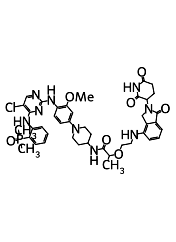 COc1cc(N2CCC(NC(=O)C(C)OCCNc3cccc4c3CN(C3CCC(=O)NC3=O)C4=O)CC2)ccc1Nc1ncc(Cl)c(Nc2ccccc2P(C)(C)=O)n1